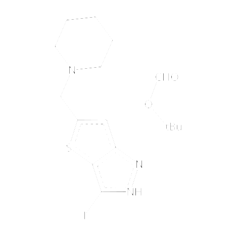 CC(C)(C)OC=O.Ic1[nH]nc2cc(CN3CCCCC3)sc12